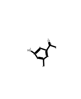 CC(=O)c1cc(C)cc(S)c1